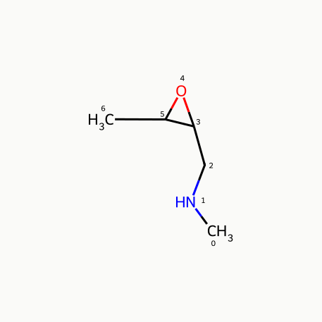 CNCC1OC1C